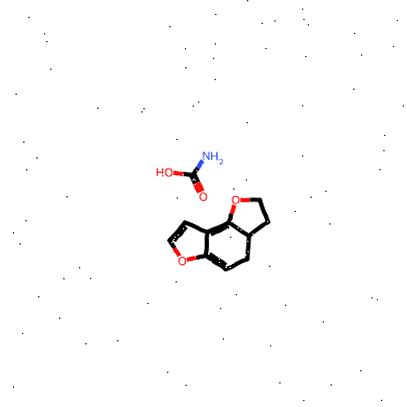 C1=c2occc2=C2OCCC2C1.NC(=O)O